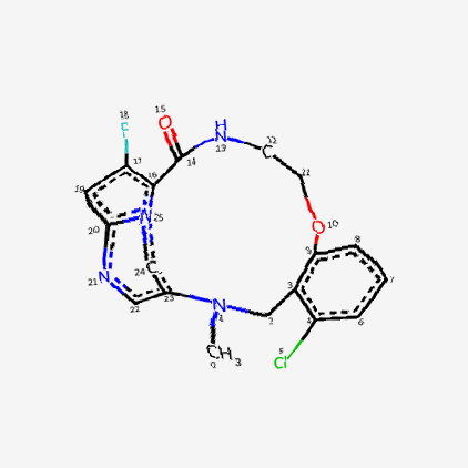 CN1Cc2c(Cl)cccc2OCCNC(=O)c2c(F)cc3ncc1cn23